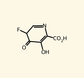 O=C(O)C1=C(O)C(=O)C(F)C=N1